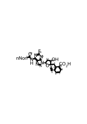 C#C[C@@]1(Cc2ccccc2C(=O)O)O[C@@H](n2cnc3c(NC(=O)CCCCCCCCC)nc(F)nc32)C[C@@H]1O